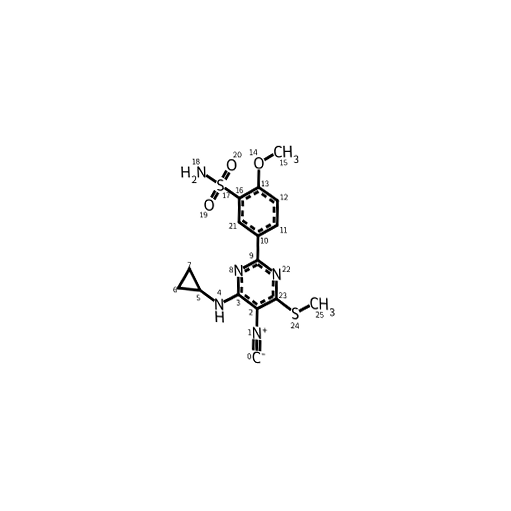 [C-]#[N+]c1c(NC2CC2)nc(-c2ccc(OC)c(S(N)(=O)=O)c2)nc1SC